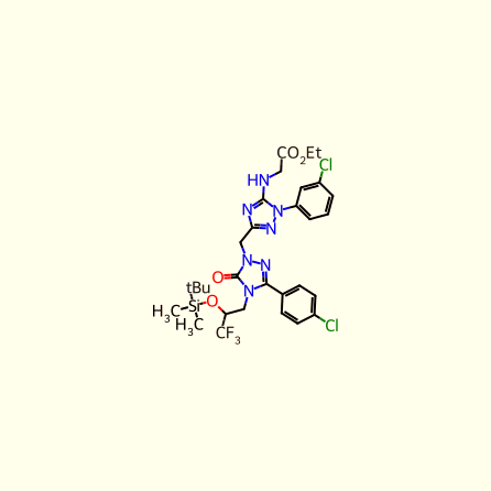 CCOC(=O)CNc1nc(Cn2nc(-c3ccc(Cl)cc3)n(CC(O[Si](C)(C)C(C)(C)C)C(F)(F)F)c2=O)nn1-c1cccc(Cl)c1